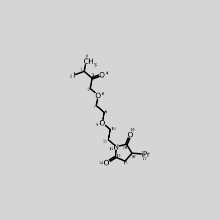 CC(I)C(=O)COCCOCCN1C(=O)CC(C(C)C)C1=O